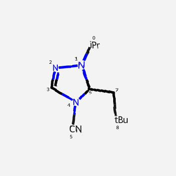 CC(C)N1N=CN(C#N)C1CC(C)(C)C